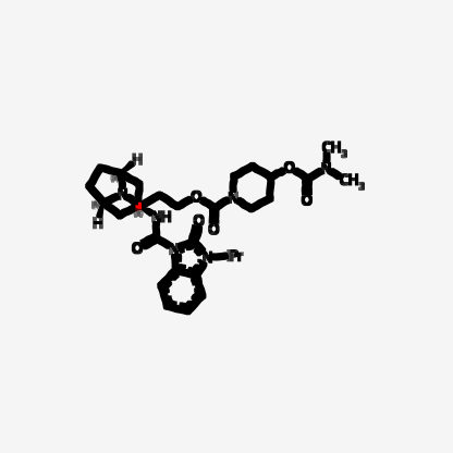 CC(C)n1c(=O)n(C(=O)N[C@@H]2C[C@H]3CC[C@@H](C2)N3CCCOC(=O)N2CCC(OC(=O)N(C)C)CC2)c2ccccc21